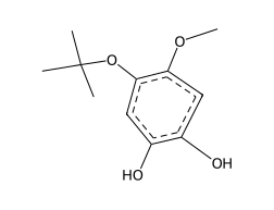 COc1cc(O)c(O)cc1OC(C)(C)C